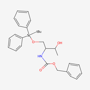 CC(O)C(CO[Si](c1ccccc1)(c1ccccc1)C(C)(C)C)NC(=O)OCc1ccccc1